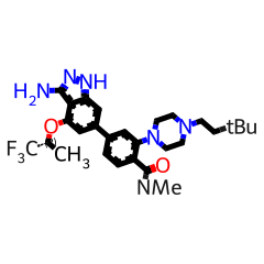 CNC(=O)c1ccc(-c2cc(O[C@H](C)C(F)(F)F)c3c(N)n[nH]c3c2)cc1N1CCN(CCC(C)(C)C)CC1